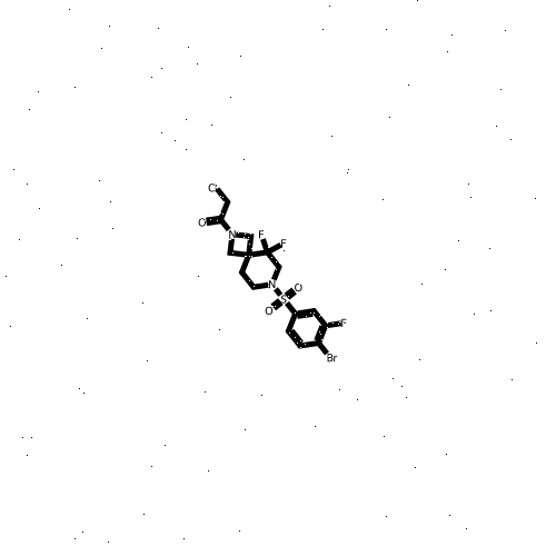 O=C(CCl)N1CC2(CCN(S(=O)(=O)c3ccc(Br)c(F)c3)CC2(F)F)C1